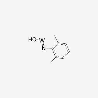 Cc1cccc(C)c1[N]=[W][OH]